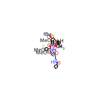 COc1c(F)cc(C(NC(=O)N2CCN(CCCNC(=O)c3ccccc3)C(=O)C2=O)C(=O)N[C@@H](Cc2ccc(F)c(C(=O)OC(C)(C)C)c2OC)B2O[C@@H]3C[C@@H]4C[C@@H](C4(C)C)[C@]3(C)O2)c(Cl)c1OC